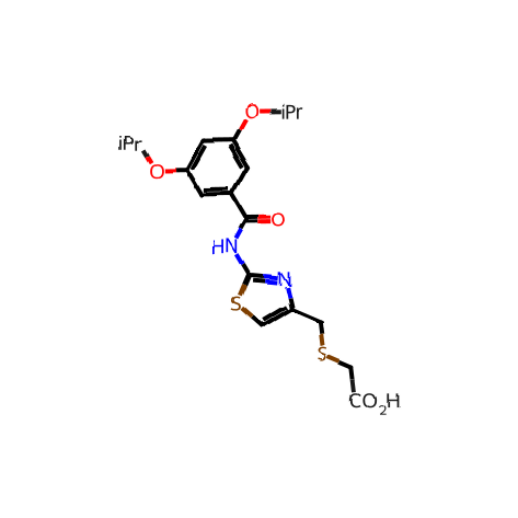 CC(C)Oc1cc(OC(C)C)cc(C(=O)Nc2nc(CSCC(=O)O)cs2)c1